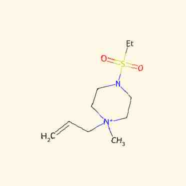 C=CC[N+]1(C)CCN(S(=O)(=O)CC)CC1